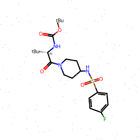 CC(C)(C)OC(=O)N[C@H](C(=O)N1CCC(NS(=O)(=O)c2ccc(F)cc2)CC1)C(C)(C)C